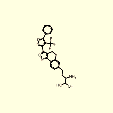 NC(CCc1ccc2c(c1)CCc1c-2noc1-c1noc(-c2ccccc2)c1C(F)(F)F)C(O)O